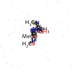 C=CC(=O)N1CCC(Oc2cc3c(Nc4cc(-c5ncc(C)s5)ccc4C(C)(C)O)ncnc3cc2OC)CC1